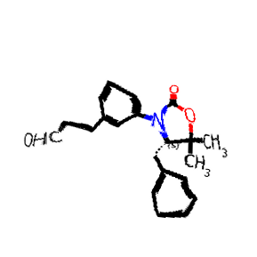 CC1(C)OC(=O)N(c2cccc(CCC=O)c2)[C@H]1Cc1ccccc1